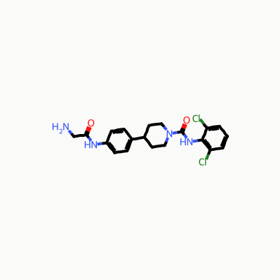 NCC(=O)Nc1ccc(C2CCN(C(=O)Nc3c(Cl)cccc3Cl)CC2)cc1